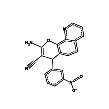 N#CC1=C(N)Oc2c(ccc3cccnc23)C1c1cccc([N+](=O)[O-])c1